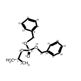 [CH2][C@@H](C)OP(=O)(OCc1ccccc1)OCc1ccccc1